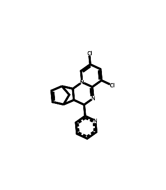 ClC1=CN2C(=NC(c3ccccn3)C3C4C=CC(C4)C32)C(Cl)=C1